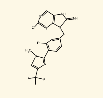 Cn1cc(C(F)(F)F)nc1-c1ccc(Cn2c(=N)[nH]c3cnc(Cl)nc32)cc1F